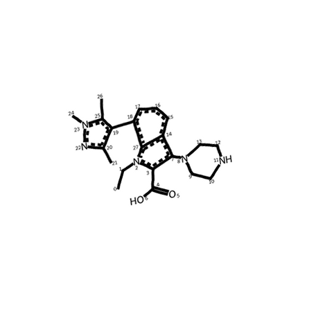 CCn1c(C(=O)O)c(N2CCNCC2)c2cccc(-c3c(C)nn(C)c3C)c21